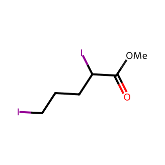 COC(=O)C(I)CCCI